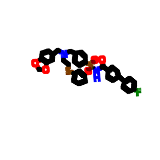 O=C(NS(=O)(=O)c1ccc(CN(CCSc2ccccc2)Cc2ccc3c(c2)OCO3)cc1)c1ccc(-c2ccc(F)cc2)cc1